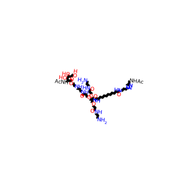 CC(=O)NCc1cn(CCCNC(=O)CCCCCCCCCCC(=O)NC(COCCC(=O)NCCCN)(COCCC(=O)NCCCN)COCCC(=O)NCCCNCCO[C@@H]2OC(CO)[C@H](O)C(O)C2NC(C)=O)nn1